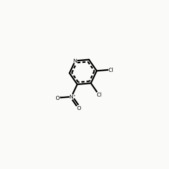 O=[N+]([O-])c1cncc(Cl)c1Cl